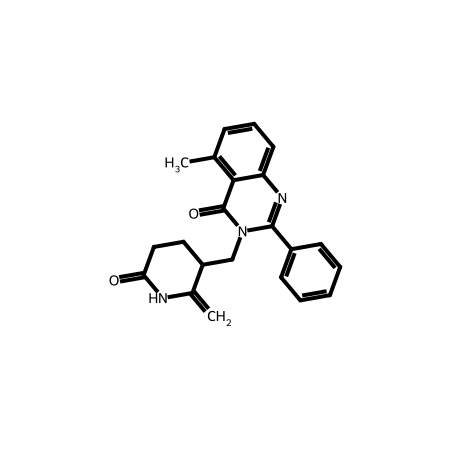 C=C1NC(=O)CCC1Cn1c(-c2ccccc2)nc2cccc(C)c2c1=O